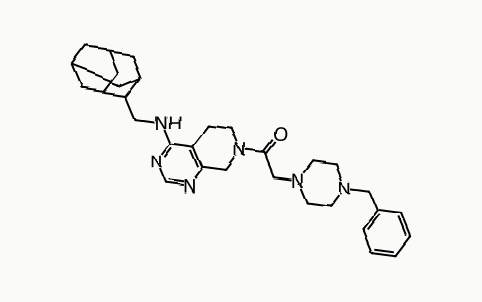 O=C(CN1CCN(Cc2ccccc2)CC1)N1CCc2c(ncnc2NCC2C3CC4CC(C3)CC2C4)C1